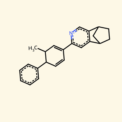 CC1C=C(c2cc3c(cn2)C2CCC3C2)C=CC1c1ccccc1